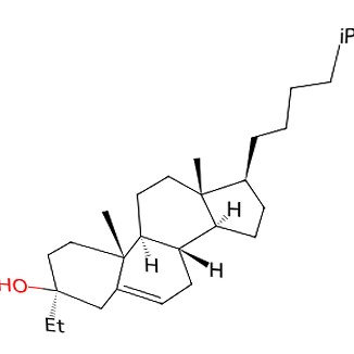 CC[C@]1(O)CC[C@@]2(C)C(=CC[C@H]3[C@@H]4CC[C@H](CCCCC(C)C)[C@@]4(C)CC[C@@H]32)C1